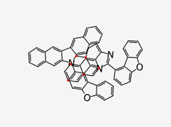 CC1C/C=C(c2ccc3ccccc3c2)/N=C(c2cccc3oc4ccccc4c23)\N=C/1c1c(-n2c3cc4ccccc4cc3c3cc4ccccc4cc32)ccc2oc3ccccc3c12